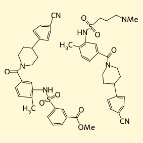 CNCCCS(=O)(=O)Nc1cc(C(=O)N2CCC(c3ccc(C#N)cc3)CC2)ccc1C.COC(=O)c1cccc(S(=O)(=O)Nc2cc(C(=O)N3CCC(c4ccc(C#N)cc4)CC3)ccc2C)c1